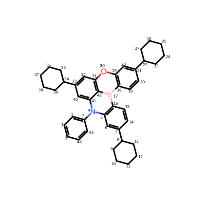 c1ccc(N2c3cc(C4CCCCC4)ccc3B3c4ccc(C5CCCCC5)cc4Oc4cc(C5CCCCC5)cc2c43)cc1